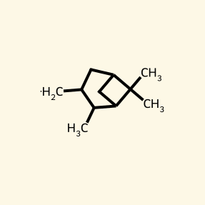 [CH2]C1CC2CC(C1C)C2(C)C